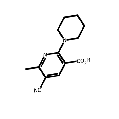 Cc1nc(N2CCCCC2)c(C(=O)O)cc1C#N